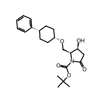 CC(C)(C)OC(=O)N1C(=O)C[C@H](O)[C@@H]1CO[C@H]1CC[C@@H](c2ccccc2)CC1